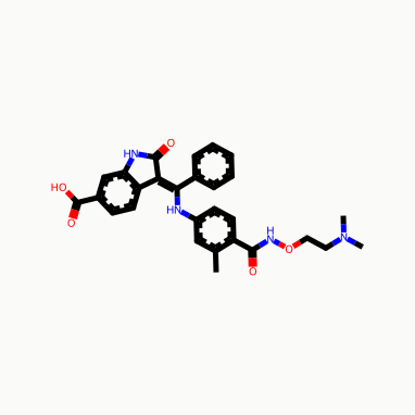 Cc1cc(NC(=C2C(=O)Nc3cc(C(=O)O)ccc32)c2ccccc2)ccc1C(=O)NOCCN(C)C